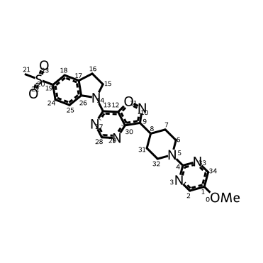 COc1cnc(N2CCC(c3noc4c(N5CCc6cc(S(C)(=O)=O)ccc65)ncnc34)CC2)nc1